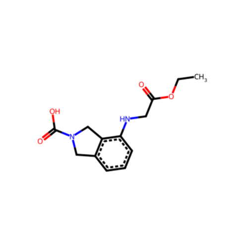 CCOC(=O)CNc1cccc2c1CN(C(=O)O)C2